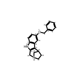 c1ccc(COc2ccc3[nH]c4c(c3c2)C2CCN(C4)C2)cc1